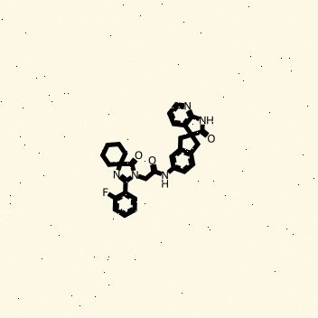 O=C(CN1C(=O)C2(CCCCC2)N=C1c1ccccc1F)Nc1ccc2c(c1)CC1(C2)C(=O)Nc2ncccc21